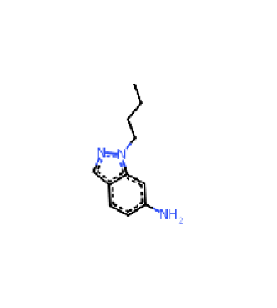 CCCCn1ncc2ccc(N)cc21